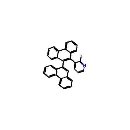 Cc1ncccc1-c1c(-c2cc3ccccc3c3ccccc23)c2ccccc2c2ccccc12